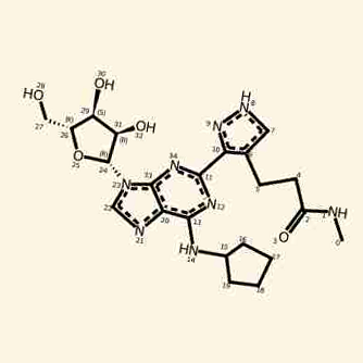 CNC(=O)CCc1c[nH]nc1-c1nc(NC2CCCC2)c2ncn([C@@H]3O[C@H](CO)[C@@H](O)[C@H]3O)c2n1